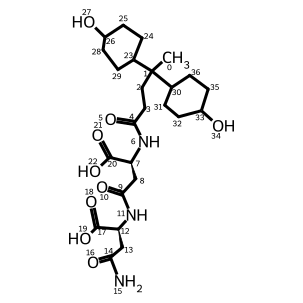 CC(CCC(=O)N[C@@H](CC(=O)N[C@@H](CC(N)=O)C(=O)O)C(=O)O)(C1CCC(O)CC1)C1CCC(O)CC1